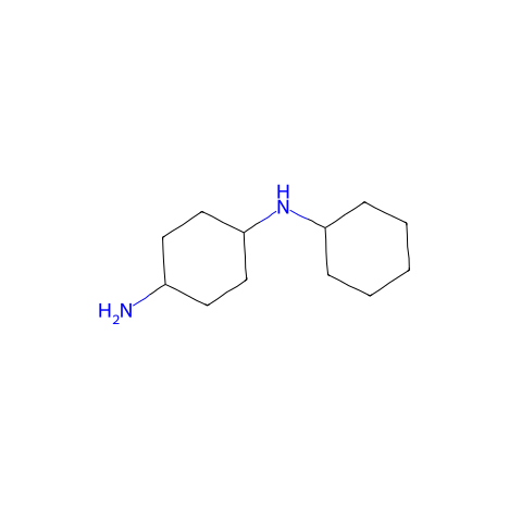 NC1CCC(NC2CCCCC2)CC1